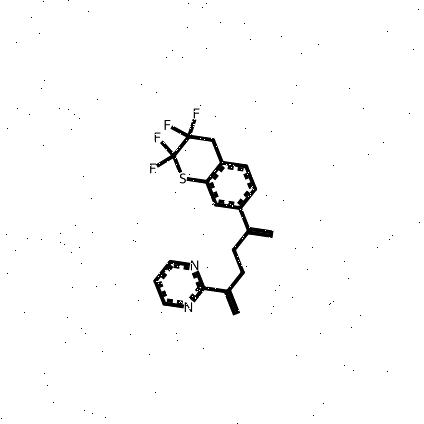 C=C(CCC(=C)c1ncccn1)c1ccc2c(c1)SC(F)(F)C(F)(F)C2